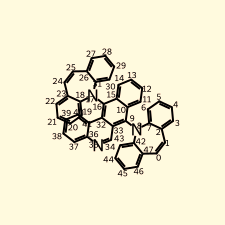 C1=Cc2ccccc2N(c2c3ccccc3c(N3c4ccccc4C=Cc4ccccc43)c3c2cnc2ccccc23)c2ccccc21